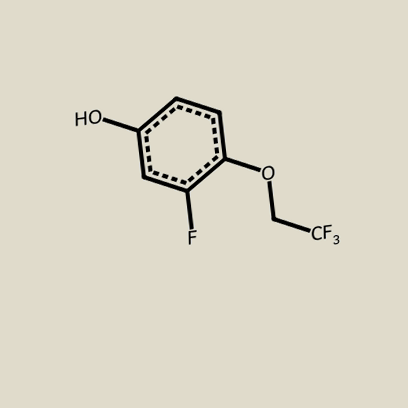 Oc1ccc(OCC(F)(F)F)c(F)c1